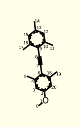 COc1cc(C)c(C#Cc2c(C)cc(C)cc2C)c(C)c1